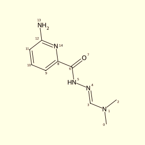 CN(C)C=NNC(=O)c1cccc(N)n1